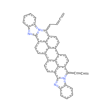 C=C=C=c1c2ccc3c4ccc5/c(=C\C=C=C)n6c7ccccc7nc6c6ccc(c7ccc(c2c37)c2nc3ccccc3n12)c4c56